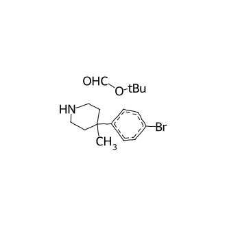 CC(C)(C)OC=O.CC1(c2ccc(Br)cc2)CCNCC1